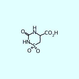 O=C1NC(C(=O)O)CS(=O)(=O)N1